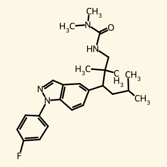 CC(C)CC(c1ccc2c(cnn2-c2ccc(F)cc2)c1)C(C)(C)CNC(=O)N(C)C